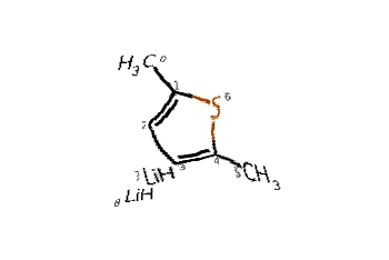 Cc1ccc(C)s1.[LiH].[LiH]